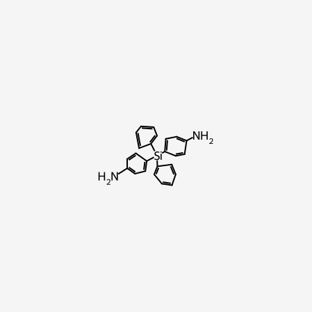 Nc1ccc([Si](c2ccccc2)(c2ccccc2)c2ccc(N)cc2)cc1